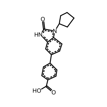 O=C(O)c1ccc(-c2ccc3c(c2)[nH]c(=O)n3C2CCCC2)cc1